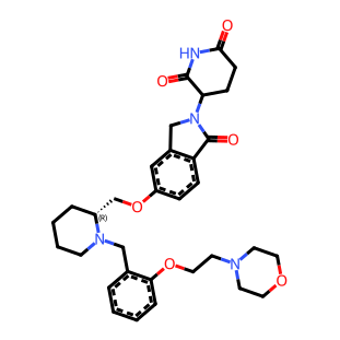 O=C1CCC(N2Cc3cc(OC[C@H]4CCCCN4Cc4ccccc4OCCN4CCOCC4)ccc3C2=O)C(=O)N1